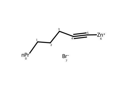 CCCCCCC#[C][Zn+].[Br-]